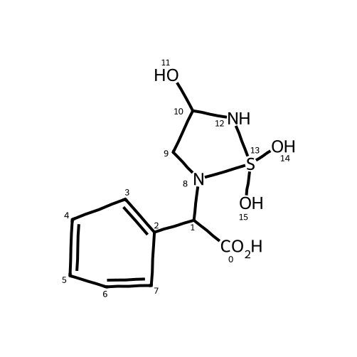 O=C(O)C(c1ccccc1)N1CC(O)NS1(O)O